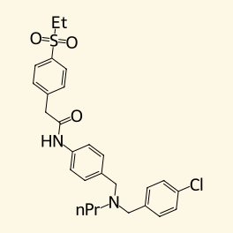 CCCN(Cc1ccc(Cl)cc1)Cc1ccc(NC(=O)Cc2ccc(S(=O)(=O)CC)cc2)cc1